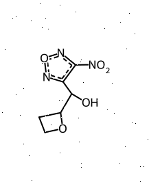 O=[N+]([O-])c1nonc1C(O)C1CCO1